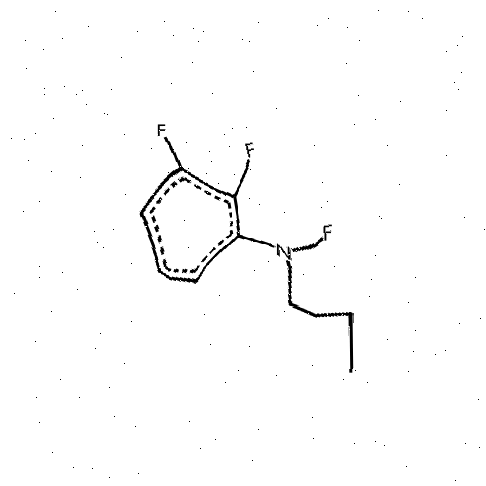 CCCN(F)c1cccc(F)c1F